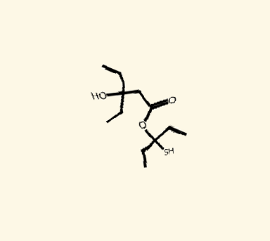 CCC(O)(CC)CC(=O)OC(S)(CC)CC